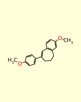 COc1ccc(C2=Cc3ccc(OC)cc3CCC2)cc1